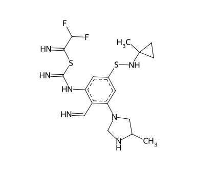 CC1CN(c2cc(SNC3(C)CC3)cc(NC(=N)SC(=N)C(F)F)c2C=N)CN1